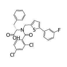 O=C(O)[C@H](Cc1ccccc1)N(Cc1ccc(-c2cccc(F)c2)s1)C(=O)c1ccc(Cl)cc1Cl